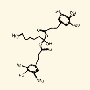 CC(C)(C)c1cc(CCC(=O)OC(O)(CCCCCO)OC(=O)CCc2cc(C(C)(C)C)c(O)c(C(C)(C)C)c2)cc(C(C)(C)C)c1O